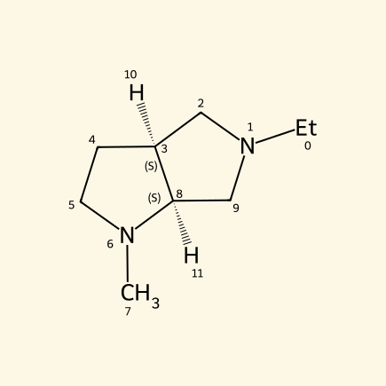 CCN1C[C@@H]2CCN(C)[C@@H]2C1